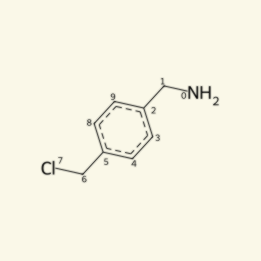 NCc1ccc(CCl)cc1